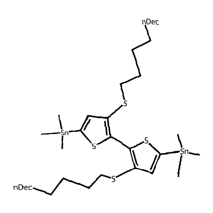 CCCCCCCCCCCCCCSc1c[c]([Sn]([CH3])([CH3])[CH3])sc1-c1s[c]([Sn]([CH3])([CH3])[CH3])cc1SCCCCCCCCCCCCCC